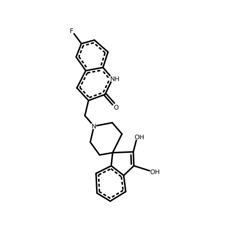 O=c1[nH]c2ccc(F)cc2cc1CN1CCC2(CC1)C(O)=C(O)c1ccccc12